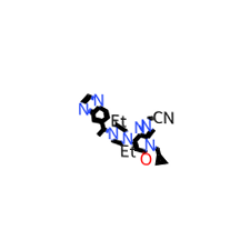 CC[C@H]1CN(C(C)c2ccc3nccnc3c2)[C@H](CC)CN1c1cc(=O)n(CC2CC2)c2cn(CC#N)nc12